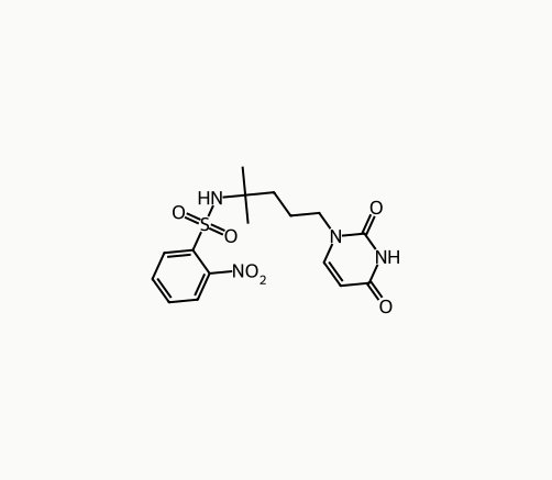 CC(C)(CCCn1ccc(=O)[nH]c1=O)NS(=O)(=O)c1ccccc1[N+](=O)[O-]